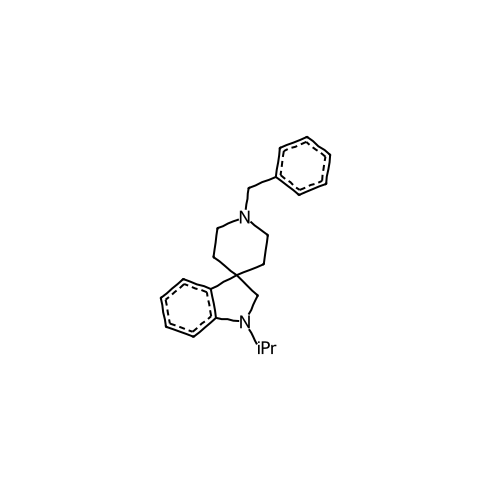 CC(C)N1CC2(CCN(Cc3ccccc3)CC2)c2ccccc21